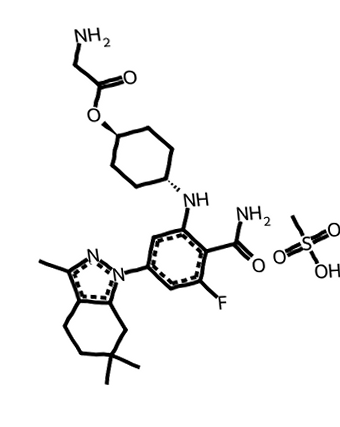 CS(=O)(=O)O.Cc1nn(-c2cc(F)c(C(N)=O)c(N[C@H]3CC[C@H](OC(=O)CN)CC3)c2)c2c1CCC(C)(C)C2